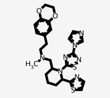 CN(CCc1ccc2c(c1)OCCO2)CC1CCCC(c2nccs2)N1c1nc(-n2ccnc2)ns1